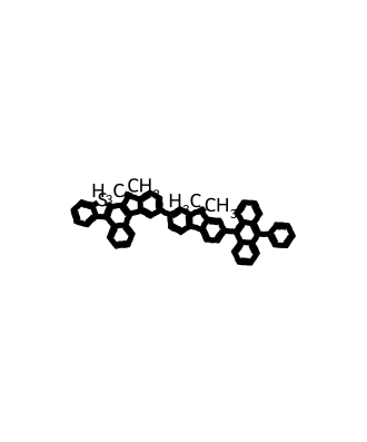 CC1(C)c2cc(-c3ccc4c(c3)-c3c(c5sc6ccccc6c5c5ccccc35)C4(C)C)ccc2-c2ccc(-c3c4ccccc4c(-c4ccccc4)c4ccccc34)cc21